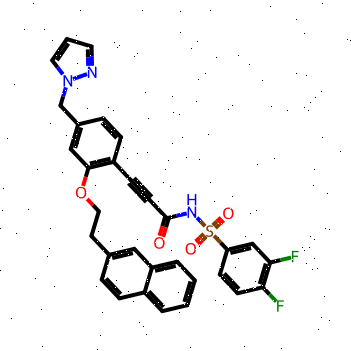 O=C(C#Cc1ccc(Cn2cccn2)cc1OCCc1ccc2ccccc2c1)NS(=O)(=O)c1ccc(F)c(F)c1